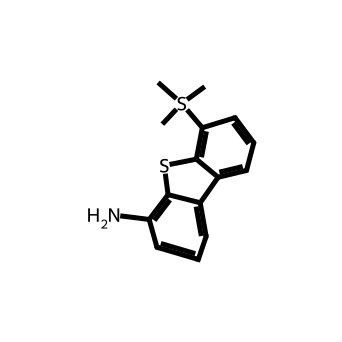 CS(C)(C)c1cccc2c1sc1c(N)cccc12